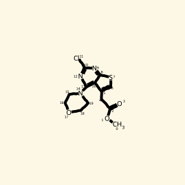 COC(=O)Cc1csc2nc(Cl)nc(N3CCOCC3)c12